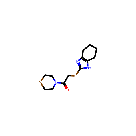 O=C(CSc1nc2c([nH]1)CCCC2)N1CCSCC1